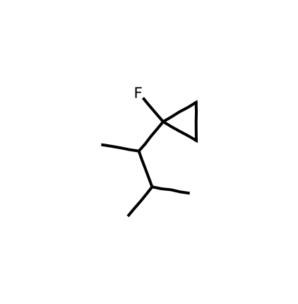 CC(C)C(C)C1(F)CC1